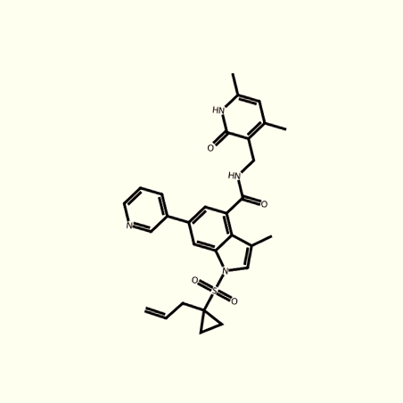 C=CCC1(S(=O)(=O)n2cc(C)c3c(C(=O)NCc4c(C)cc(C)[nH]c4=O)cc(-c4cccnc4)cc32)CC1